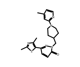 Cc1ccnc(N2CCC(Cn3nc(-c4sc(C)nc4C)ccc3=O)CC2)c1